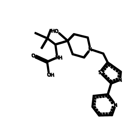 CC(C)(C)C(NC(=O)O)C1(O)CCN(Cc2cnc(-c3ccccn3)s2)CC1